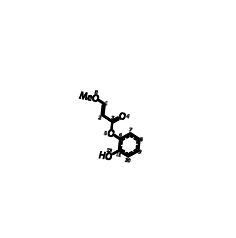 COC=CC(=O)Oc1ccccc1O